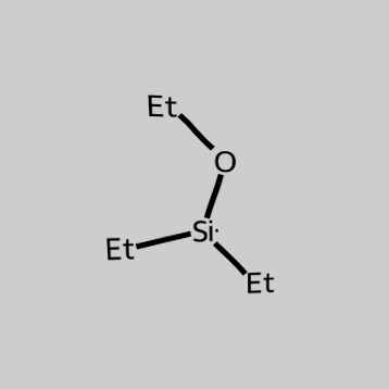 CCO[Si](CC)CC